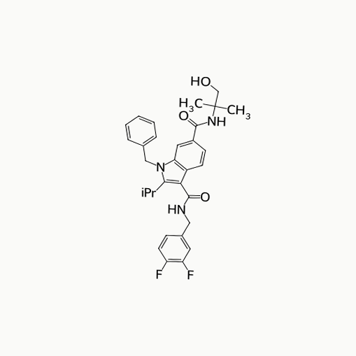 CC(C)c1c(C(=O)NCc2ccc(F)c(F)c2)c2ccc(C(=O)NC(C)(C)CO)cc2n1Cc1ccccc1